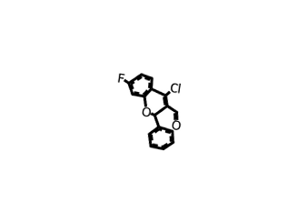 O=CC1=C(Cl)c2ccc(F)cc2OC1c1ccccc1